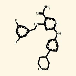 NC(=O)c1cnc(Nc2ccc(C3CCNCC3)cc2)cc1NCc1cc(F)cc(F)c1